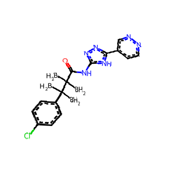 BC(B)(C(=O)Nc1nnc(-c2ccnnc2)[nH]1)C(B)(B)c1ccc(Cl)cc1